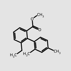 CCc1cccc(C(=O)OC)c1-c1ccc(C)cc1C